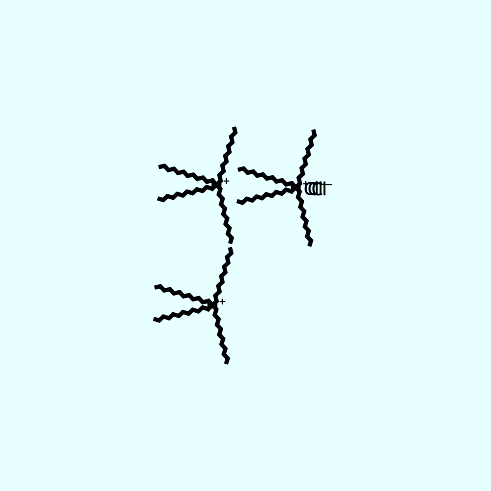 CCCCCCCCCCCC[N+](CCCCCCCCCCCC)(CCCCCCCCCCCC)CCCCCCCCCCCC.CCCCCCCCCCCC[N+](CCCCCCCCCCCC)(CCCCCCCCCCCC)CCCCCCCCCCCC.CCCCCCCCCCCC[N+](CCCCCCCCCCCC)(CCCCCCCCCCCC)CCCCCCCCCCCC.[Cl-].[Cl-].[Cl-]